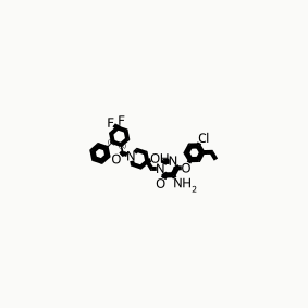 CCc1cc(Oc2ncn(CC3(O)CCN(C(=O)[C@@H]4CCC(F)(F)C[C@H]4c4ccccc4)CC3)c(=O)c2N)ccc1Cl